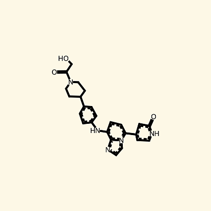 O=C(CO)N1CCC(c2ccc(Nc3ccc(-c4cc[nH]c(=O)c4)n4ccnc34)cc2)CC1